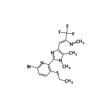 C=N/C(=C\c1nc(-c2nc(Br)ccc2SCC)n(C)c1C)C(F)(F)F